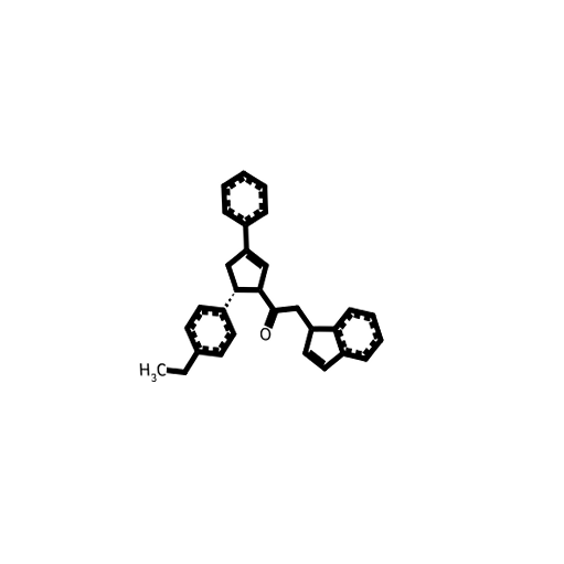 CCc1ccc([C@@H]2CC(c3ccccc3)=CC2C(=O)CC2C=Cc3ccccc32)cc1